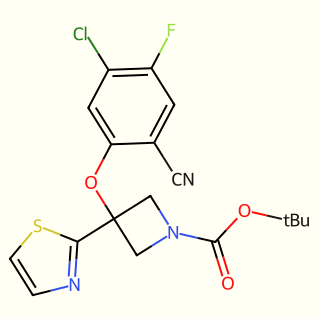 CC(C)(C)OC(=O)N1CC(Oc2cc(Cl)c(F)cc2C#N)(c2nccs2)C1